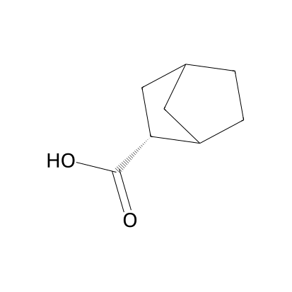 O=C(O)[C@@H]1CC2CCC1C2